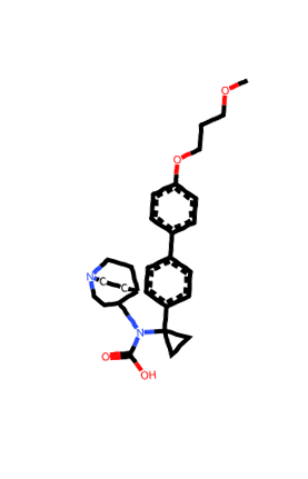 COCCCOc1ccc(-c2ccc(C3(N(C(=O)O)C4CCN5CCC4CC5)CC3)cc2)cc1